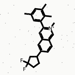 Cc1cc(C)c(C)c(-c2cc3cc(C4CCC(F)(F)C4)ccc3c[n+]2C)c1